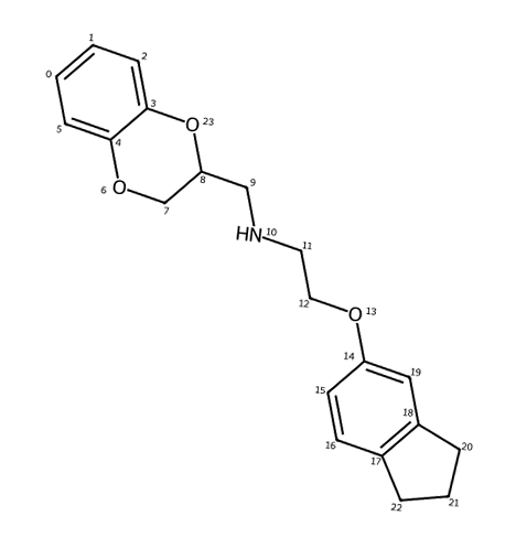 c1ccc2c(c1)OCC(CNCCOc1ccc3c(c1)CCC3)O2